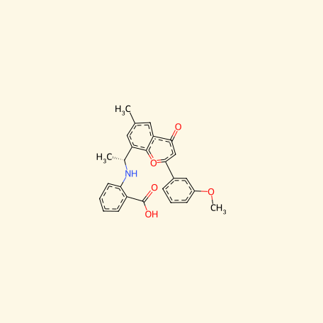 COc1cccc(-c2cc(=O)c3cc(C)cc([C@@H](C)Nc4ccccc4C(=O)O)c3o2)c1